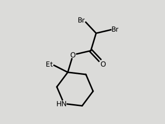 CCC1(OC(=O)C(Br)Br)CCCNC1